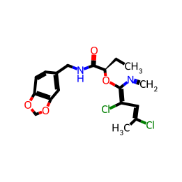 C=N/C(O[C@H](CC)C(=O)NCc1ccc2c(c1)OCO2)=C(Cl)\C=C(/C)Cl